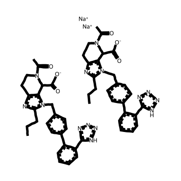 CCCc1nc2c(n1Cc1ccc(-c3ccccc3-c3nnn[nH]3)cc1)C(C(=O)[O-])N(C(C)=O)CC2.CCCc1nc2c(n1Cc1ccc(-c3ccccc3-c3nnn[nH]3)cc1)C(C(=O)[O-])N(C(C)=O)CC2.[Na+].[Na+]